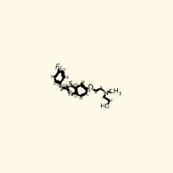 CN(CCO)CCOc1ccc2nc(Sc3ccc(F)cc3)sc2c1